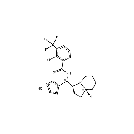 Cl.O=C(N[C@@H](c1ccsc1)[C@@H]1CC[C@H]2CCCCN21)c1cccc(C(F)(F)F)c1Cl